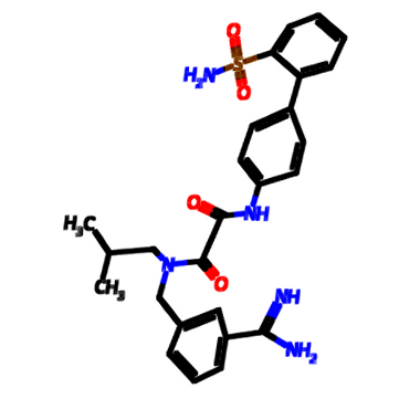 CC(C)CN(Cc1cccc(C(=N)N)c1)C(=O)C(=O)Nc1ccc(-c2ccccc2S(N)(=O)=O)cc1